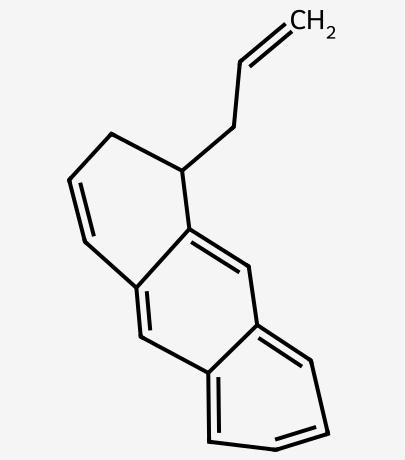 C=CCC1CC=Cc2cc3ccccc3cc21